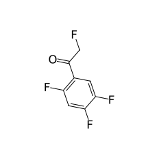 O=C(CF)c1cc(F)c(F)cc1F